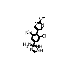 COc1ncc(-c2c(Cl)cc(C3(N)N=CNN3)cc2Cl)cn1.N